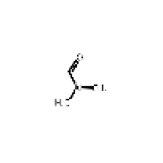 [CH3][Al]([CH3])[CH]=O